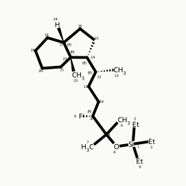 CC[Si](CC)(CC)OC(C)(C)[C@H](F)CC[C@@H](C)[C@H]1CC[C@H]2CCCC[C@]21C